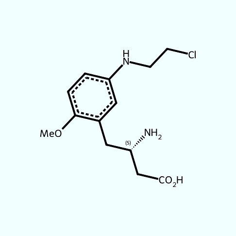 COc1ccc(NCCCl)cc1C[C@H](N)CC(=O)O